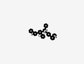 c1ccc(-c2cc(-c3ccc(-c4ccc5sc6ccccc6c5c4)c4oc5ccccc5c34)nc(-c3ccc(-c4cccc5ncccc45)cc3)n2)cc1